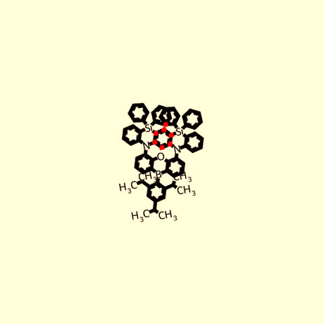 CC(C)c1cc(C(C)C)c(B2c3cccc(N4c5ccccc5[Si](c5ccccc5)(c5ccccc5)c5ccccc54)c3Oc3c2cccc3N2c3ccccc3[Si](c3ccccc3)(c3ccccc3)c3ccccc32)c(C(C)C)c1